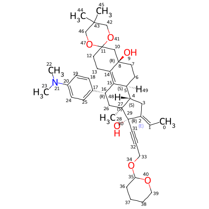 C/C=C1\C[C@H]2[C@@H]3CC[C@@]4(O)CC5(CCC4=C3[C@@H](c3ccc(N(C)C)cc3)C[C@]2(C)[C@]1(O)C#CCOC1CCCCO1)OCC(C)(C)CO5